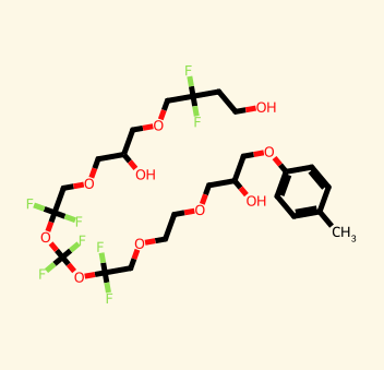 Cc1ccc(OCC(O)COCCOCC(F)(F)OC(F)(F)OC(F)(F)COCC(O)COCC(F)(F)CCO)cc1